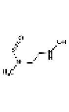 CN(C=O)CCNO